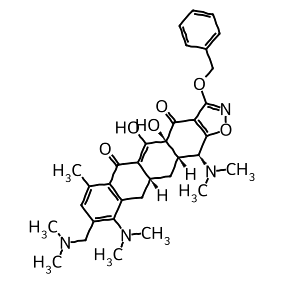 Cc1cc(CN(C)C)c(N(C)C)c2c1C(=O)C1=C(O)[C@]3(O)C(=O)c4c(OCc5ccccc5)noc4[C@@H](N(C)C)[C@@H]3C[C@@H]1C2